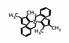 CC1=CC[C]([Zr]([CH2]c2ccccc2)([CH2]c2ccccc2)[C]2=C(C)C(C)=CC2)=C1C